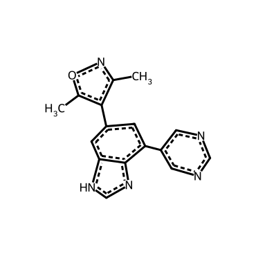 Cc1noc(C)c1-c1cc(-c2cncnc2)c2nc[nH]c2c1